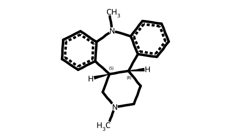 CN1CC[C@H]2c3ccccc3N(C)c3ccccc3[C@H]2C1